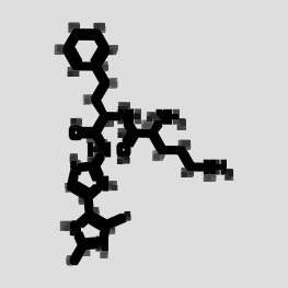 Cc1nc(C)c(-c2csc(NC(=O)[C@@H](CCc3ccccc3)NC(=O)[C@@H](N)CCCN)n2)s1